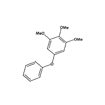 COc1cc(Oc2[c]cccc2)cc(OC)c1OC